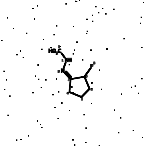 O=C(O)NN=C1CCCC1F